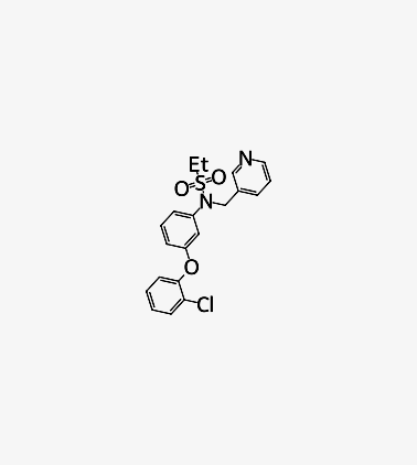 CCS(=O)(=O)N(Cc1cccnc1)c1cccc(Oc2ccccc2Cl)c1